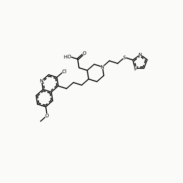 COc1ccc2ncc(Cl)c(CCCC3CCN(CCSc4nccs4)CC3CC(=O)O)c2c1